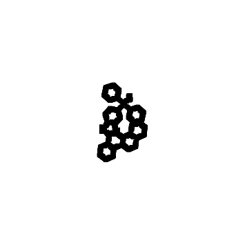 S=P(c1ccccc1)(c1ccccc1)c1ccc2nc3c4ccccc4c4ccc5ccccc5c4n3c2c1